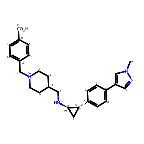 Cn1cc(-c2ccc([C@@H]3C[C@H]3NCC3CCN(Cc4ccc(C(=O)O)cc4)CC3)cc2)cn1